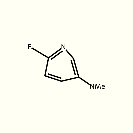 CNc1ccc(F)nc1